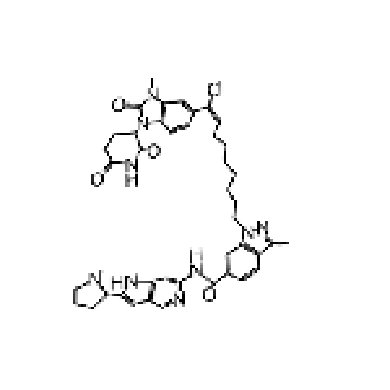 Cc1nn(CCCCCCC/C=C(/Cl)c2ccc3c(c2)n(C)c(=O)n3C2CCC(=O)NC2=O)c2cc(C(=O)Nc3cc4[nH]c([C@H]5CCCN5C)cc4cn3)ccc12